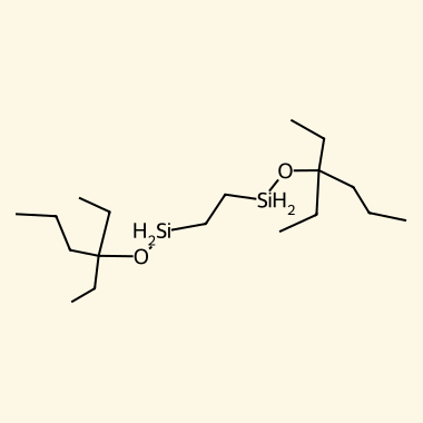 CCCC(CC)(CC)O[SiH2]CC[SiH2]OC(CC)(CC)CCC